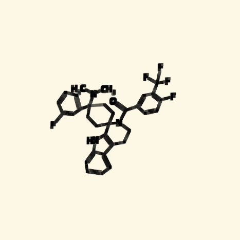 CN(C)C1(c2cccc(F)c2)CCC2(CC1)c1[nH]c3ccccc3c1CCN2C(=O)c1ccc(F)c(C(F)(F)F)c1